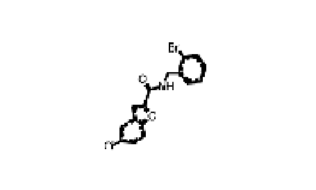 O=C(NCc1ccccc1Br)c1cc2cc(Cl)ccc2o1